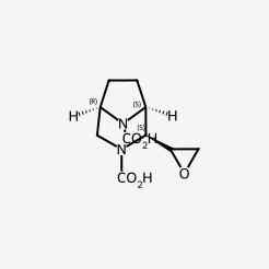 O=C(O)N1C[C@H]2CC[C@@H]([C@H]1C1CO1)N2C(=O)O